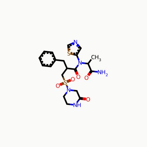 CC(C(N)=O)N(C(=O)C(Cc1ccccc1)CS(=O)(=O)N1CCNC(=O)C1)c1cncs1